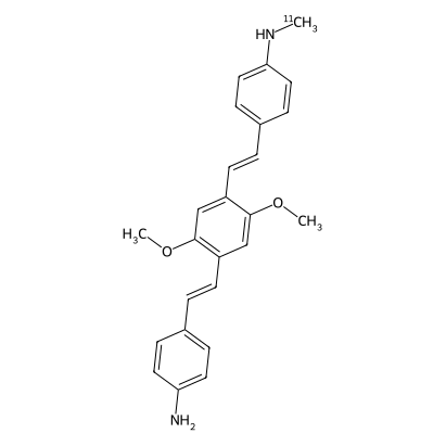 COc1cc(/C=C/c2ccc(N[11CH3])cc2)c(OC)cc1/C=C/c1ccc(N)cc1